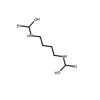 CCC(O)NCCCCNC(O)CC